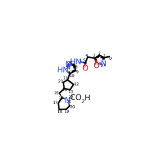 Cc1cc(CC(=O)Nc2cc(C3CCC(C[C@@H]4CCCCN4C(=O)O)C3)[nH]n2)on1